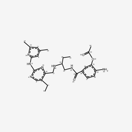 CCc1cnc(Nc2cc(C)cc(C)n2)nc1CNC(CC)CNC(=O)c1ccc(N)c(OC(C)=O)c1